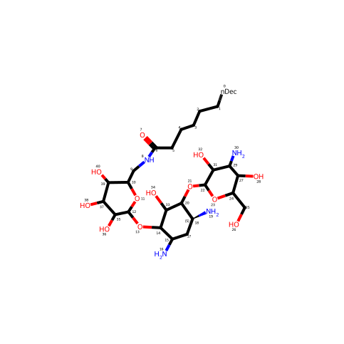 CCCCCCCCCCCCCCCC(=O)NCC1OC(OC2C(N)C[C@H](N)C(OC3OC(CO)C(O)C(N)C3O)C2O)C(O)C(O)C1O